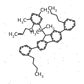 C=CCOc1c(C)cc(C)cc1[Si](C)(C)C1c2cc(-c3ccccc3CCCC)ccc2-c2ccc(-c3ccccc3CCCC)cc21